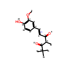 COc1cc(/C=C/C(=O)C(C)C(=O)C(C)(C)C)ccc1O